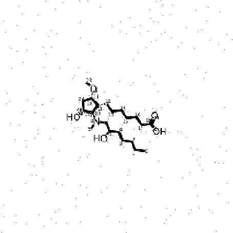 CCCCCC(O)CN(C)[C@@H]1[C@@H](CCCCCCC(=O)O)[C@@H](OC)C[C@H]1O